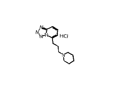 Cl.c1cc(CCCN2CCCCC2)n2nnnc2c1